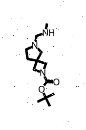 CNCN1CCC2(C1)CN(C(=O)OC(C)(C)C)C2